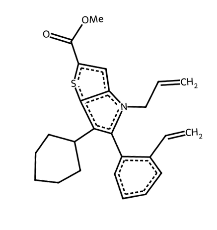 C=CCn1c(-c2ccccc2C=C)c(C2CCCCC2)c2sc(C(=O)OC)cc21